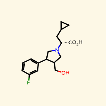 O=C(O)[C@@H](CC1CC1)N1CC(CO)C(c2cccc(F)c2)C1